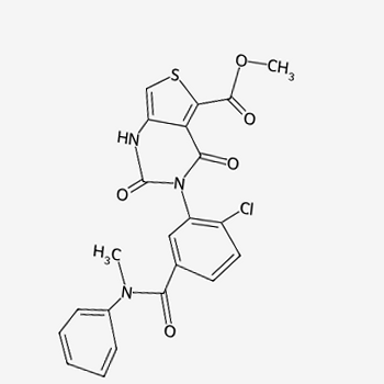 COC(=O)c1scc2[nH]c(=O)n(-c3cc(C(=O)N(C)c4ccccc4)ccc3Cl)c(=O)c12